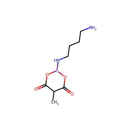 CC1C(=O)OP(NCCCCN)OC1=O